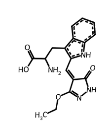 CCOC1=NNC(=O)C1=Cc1[nH]c2ccccc2c1CC(N)C(=O)O